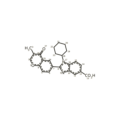 Cc1coc2ccc(-c3nc4cc(C(=O)O)ccc4n3C3CCCCC3)cc2c1=O